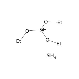 CCO[SiH](OCC)OCC.[SiH4]